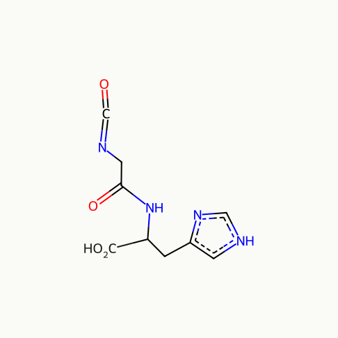 O=C=NCC(=O)NC(Cc1c[nH]cn1)C(=O)O